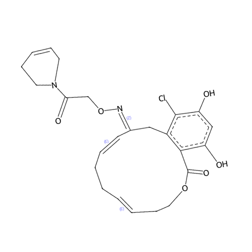 O=C1OCC/C=C/CC/C=C/C(=N\OCC(=O)N2CC=CCC2)Cc2c(Cl)c(O)cc(O)c21